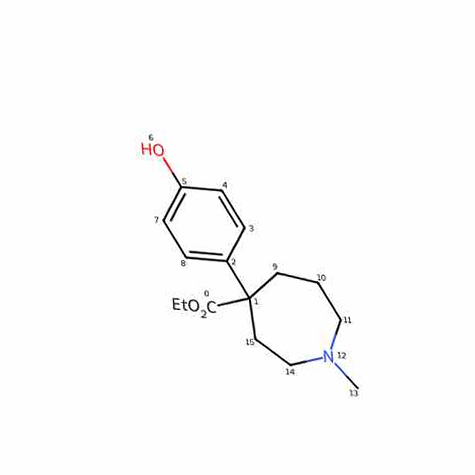 CCOC(=O)C1(c2ccc(O)cc2)CCCN(C)CC1